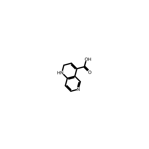 O=C(O)C1=CCNc2ccncc21